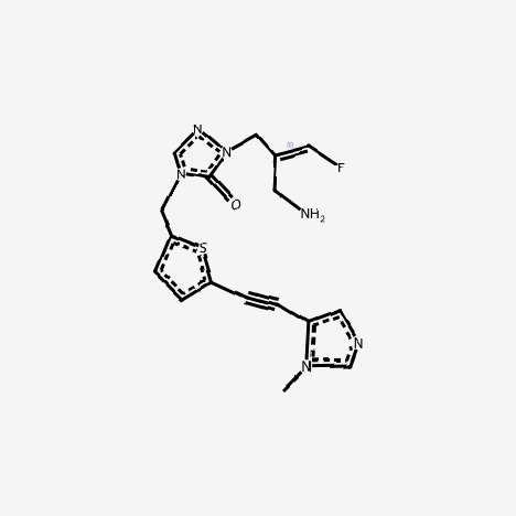 Cn1cncc1C#Cc1ccc(Cn2cnn(C/C(=C/F)CN)c2=O)s1